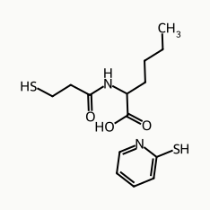 CCCCC(NC(=O)CCS)C(=O)O.Sc1ccccn1